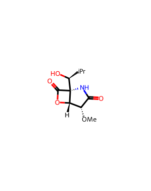 CO[C@H]1C(=O)N[C@@]2([C@@H](O)C(C)C)C(=O)O[C@@H]12